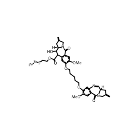 C=C1C[C@H]2C=Nc3cc(OCCCCCOc4cc5c(cc4OC)C(=O)N4CC(=C)C[C@H]4C(O)C5C(=O)OCCSSC(C)C)c(OC)cc3C(=O)N2C1